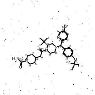 CC(C)(C)[C@H]1CN(C(c2ccc(OC(F)(F)F)cc2)c2ccc(Br)cn2)CCN1C(=O)CC1CCN(C(N)=O)CC1